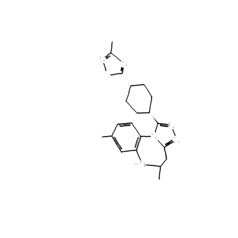 Cc1nsc([C@H]2CC[C@H](c3nnc4n3-c3ccc(Cl)cc3NC(C)C4)CC2)n1